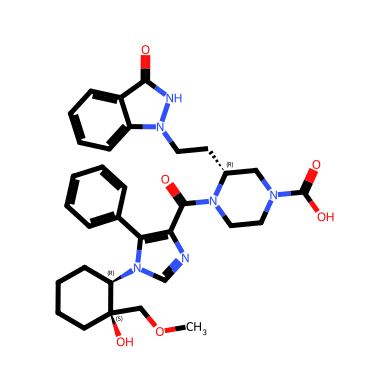 COC[C@]1(O)CCCC[C@H]1n1cnc(C(=O)N2CCN(C(=O)O)C[C@H]2CCn2[nH]c(=O)c3ccccc32)c1-c1ccccc1